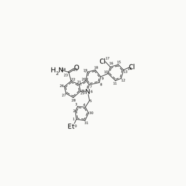 CCc1ccc(Cn2c3cc(-c4ccc(Cl)cc4Cl)c[c]c3c3c(C(N)=O)cccc32)cc1